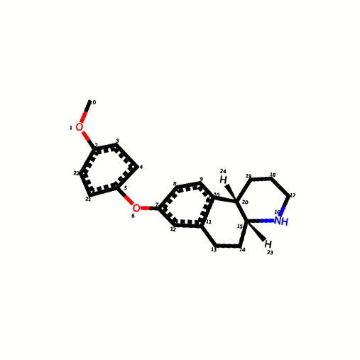 COc1ccc(Oc2ccc3c(c2)CC[C@H]2NCCC[C@@H]32)cc1